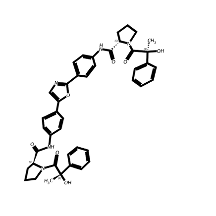 C[C@@](O)(C(=O)N1CCC[C@H]1C(=O)Nc1ccc(-c2cnc(-c3ccc(NC(=O)[C@@H]4CCCN4C(=O)[C@@](C)(O)c4ccccc4)cc3)o2)cc1)c1ccccc1